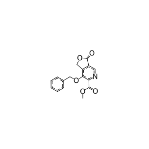 COC(=O)c1ncc2c(c1OCc1ccccc1)COC2=O